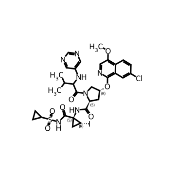 COc1cnc(O[C@@H]2C[C@@H](C(=O)N[C@]3(C(=O)NS(=O)(=O)C4CC4)C[C@H]3I)N(C(=O)C(Nc3cncnc3)C(C)C)C2)c2cc(Cl)ccc12